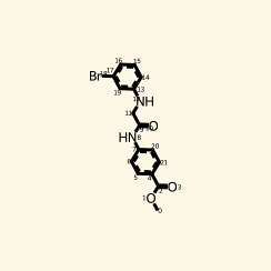 COC(=O)c1ccc(NC(=O)CNc2cccc(Br)c2)cc1